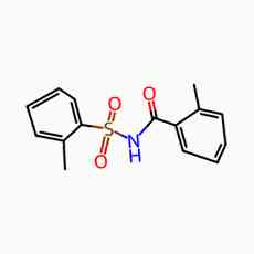 Cc1ccccc1C(=O)NS(=O)(=O)c1ccccc1C